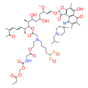 CCC(=O)OCOC(=O)NCC(=O)OCCN(CCCCC(P=O)P=O)CC(=O)O[C@H]([C@@H](C)[C@@H](O)[C@@H](C)[C@H](O)[C@H](C)[C@H](/C=C/O[C@@]1(C)Oc2c(C)c(O)c3c(c2C1=O)/C(=N/C1(C)CCN(CC(C)C)CC1)C(C)=C(C)C3=O)OC)[C@@H](C)/C=C/C=C(/C)C(C)=O